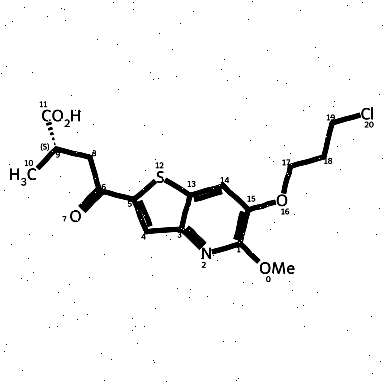 COc1nc2cc(C(=O)C[C@H](C)C(=O)O)sc2cc1OCCCCl